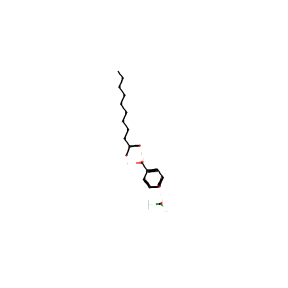 CCCCCCCCCC1COC(c2ccc(OC(F)F)cc2)OC1